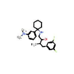 CC(Cc1cc(F)cc(F)c1)C(O)CNC1(c2cccc(N(C)C)c2)CCCCC1